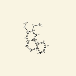 BrCc1cc2ccc3ncccc3c2nc1CBr